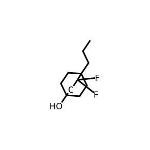 CCCC12CCC(O)(CC1)CC2(F)F